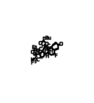 CCCCC(=O)O[C@H]1C[C@@]2(C)[C@@H](C[C@@H](C)[C@]2(OC(=O)CC)C(=O)SCF)[C@@H]2C[C@H](F)C3=CC(=O)C=C[C@]3(C)[C@@]12F